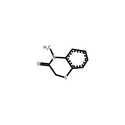 CN1C(=O)CSc2ccccc21